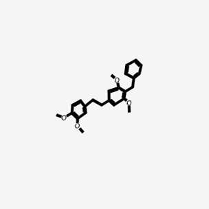 COc1ccc(CCc2cc(OC)c(Cc3ccccc3)c(OC)c2)cc1OC